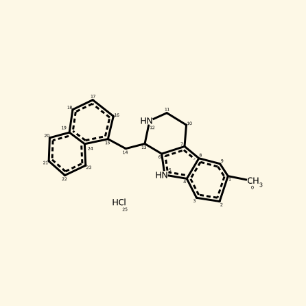 Cc1ccc2[nH]c3c(c2c1)CCNC3Cc1cccc2ccccc12.Cl